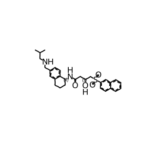 CC(C)CNCc1ccc2c(c1)CCC[C@H]2NC(=O)C[C@H](O)CS(=O)(=O)c1ccc2ccccc2c1